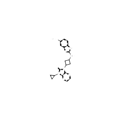 COc1ccc2nc(NC3CC(n4c(=O)n(C5CC5)c5nccnc54)C3)sc2c1